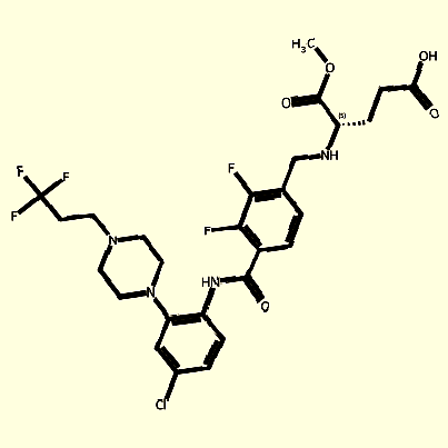 COC(=O)[C@H](CCC(=O)O)NCc1ccc(C(=O)Nc2ccc(Cl)cc2N2CCN(CCC(F)(F)F)CC2)c(F)c1F